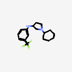 FC(F)(F)c1cccc(NC2CCN(C3CCCCC3)C2)c1